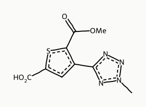 COC(=O)c1sc(C(=O)O)cc1-c1nnn(C)n1